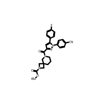 CC(C)(C)OC(=O)N1CC2(CCCN(C(=O)c3cc(-c4ccc(F)cc4)n(-c4ccc(C#N)cc4)n3)C2)C1